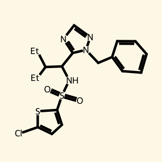 CCC(CC)C(NS(=O)(=O)c1ccc(Cl)s1)c1ncnn1Cc1ccccc1